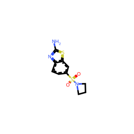 Nc1nc2ccc(S(=O)(=O)N3CCC3)cc2s1